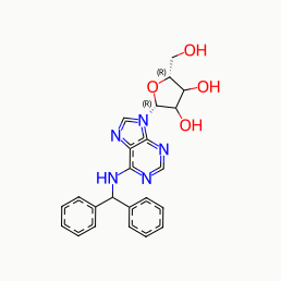 OC[C@H]1O[C@@H](n2cnc3c(NC(c4ccccc4)c4ccccc4)ncnc32)C(O)C1O